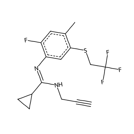 C#CCN/C(=N\c1cc(SCC(F)(F)F)c(C)cc1F)C1CC1